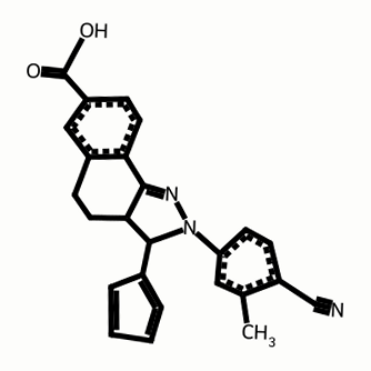 Cc1cc(N2N=C3c4ccc(C(=O)O)cc4CCC3C2C2=C=CC=C2)ccc1C#N